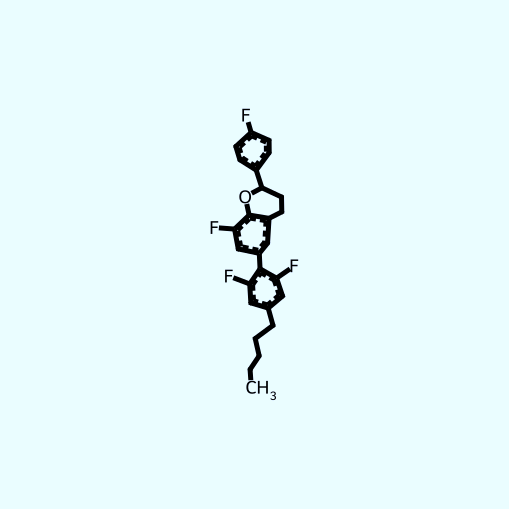 CCCCCc1cc(F)c(-c2cc(F)c3c(c2)CCC(c2ccc(F)cc2)O3)c(F)c1